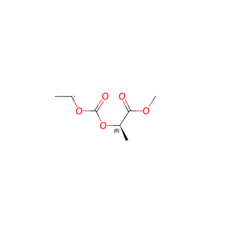 C[CH]OC(=O)O[C@H](C)C(=O)OC